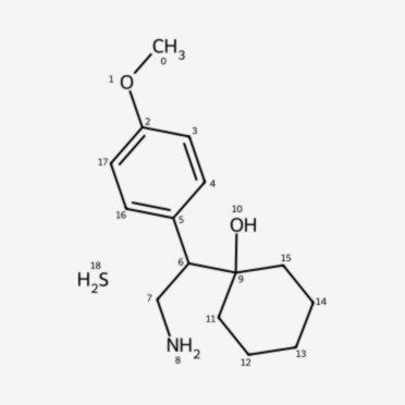 COc1ccc(C(CN)C2(O)CCCCC2)cc1.S